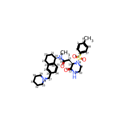 Cc1ccc(S(=O)(=O)N2CCNC(=O)[C@H]2CC(=O)N(C)[C@@H]2CCCc3cc(CN4CCCCC4)ccc32)cc1